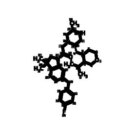 CC(C)C1COCCN1C[C@H]1CN[C@H](C)CN1CC(=O)N1CC(C)(C)c2ncc(Cc3ccc(F)cc3)cc21